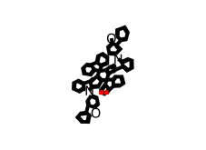 c1ccc2c(c1)-c1ccccc1C21c2cc3c4ccccc4n(-c4ccc5oc6ccccc6c5c4)c3cc2C2(c3ccccc3-c3ccccc32)c2cc3c4ccccc4n(-c4ccc5oc6ccccc6c5c4)c3cc21